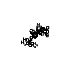 CCc1cc(C(CC)(CC)c2ccc(C(=O)O)s2)ccc1OCC(O)C(C)(C)C